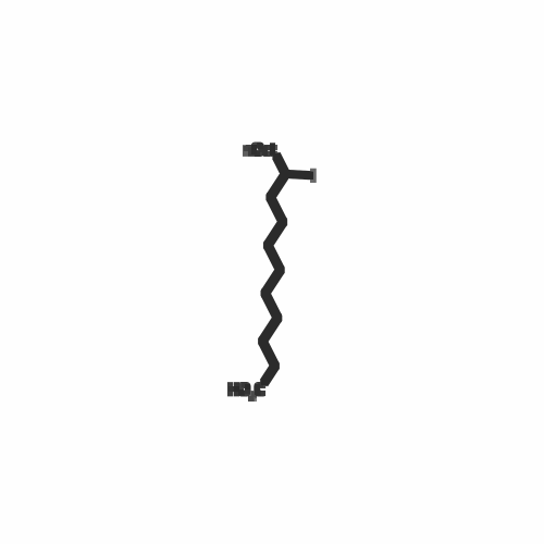 CCCCCCCCC(I)CCCCCCCCC(=O)O